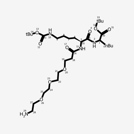 CCCCC(NC(=O)[C@H](CCCCNC(=O)OC(C)(C)C)NC(=O)CCOCCOCCOCCN)C(=O)OC(C)(C)C